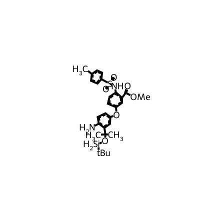 COC(=O)c1cc(Oc2ccc(N)c(C(C)(C)O[SiH2]C(C)(C)C)c2)ccc1NS(=O)(=O)c1ccc(C)cc1